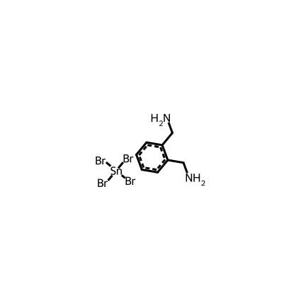 NCc1ccccc1CN.[Br][Sn]([Br])([Br])[Br]